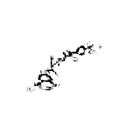 COC(=O)c1ccc(NC(=S)NN=CCc2csc(-c3ccc(C(C)(C)C)cc3)c2O)cc1[N+](=O)[O-]